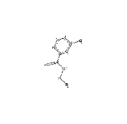 O=C(OCBr)c1cccc(Cl)c1